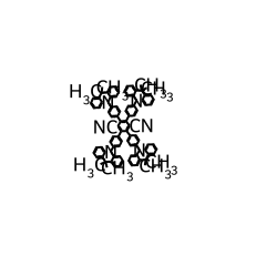 CC1(C)c2ccccc2N(c2ccc(-c3c(C#N)c(-c4ccc(N5c6ccccc6C(C)(C)c6ccccc65)cc4)c(-c4ccc(N5c6ccccc6C(C)(C)c6ccccc65)cc4)c(C#N)c3-c3ccc(N4c5ccccc5C(C)(C)c5ccccc54)cc3)cc2)c2ccccc21